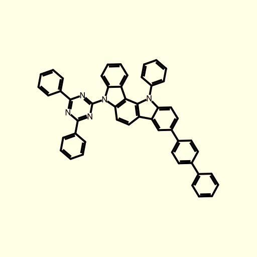 c1ccc(-c2ccc(-c3ccc4c(c3)c3ccc5c(c6ccccc6n5-c5nc(-c6ccccc6)nc(-c6ccccc6)n5)c3n4-c3ccccc3)cc2)cc1